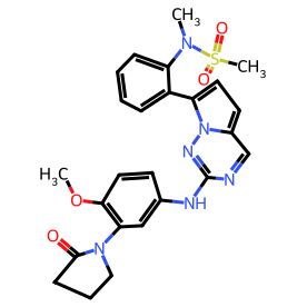 COc1ccc(Nc2ncc3ccc(-c4ccccc4N(C)S(C)(=O)=O)n3n2)cc1N1CCCC1=O